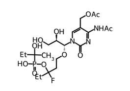 CCC(F)(CCO[C@H]([C@H](O)CO)n1cc(COC(C)=O)c(NC(C)=O)nc1=O)OP(=O)(O)C(C)(O)CC